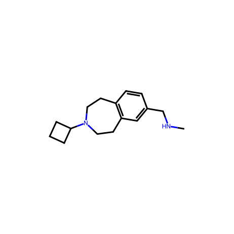 CNCc1ccc2c(c1)CCN(C1CCC1)CC2